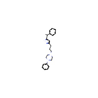 CC(c1ccccc1)c1cc(CCCN2CCN(c3ccccc3)CC2)[nH]n1